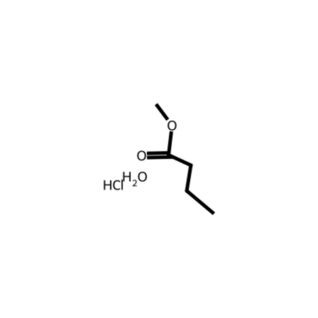 CCCC(=O)OC.Cl.O